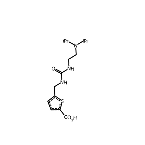 CC(C)N(CCNC(=O)NCc1ccc(C(=O)O)s1)C(C)C